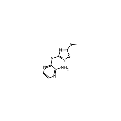 CSc1nc(Sc2nccnc2N)ns1